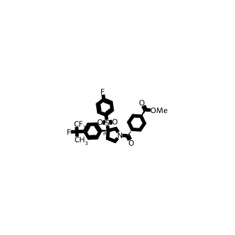 COC(=O)[C@H]1CC[C@H](C(=O)N2CC[C@](c3ccc(C(C)(F)C(F)(F)F)cc3)(S(=O)(=O)c3ccc(F)cc3)C2)CC1